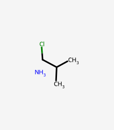 CC(C)CCl.N